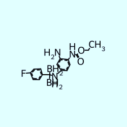 BC(B)(Nc1ccc(NC(=O)OCC)c(N)c1)c1ccc(F)cc1